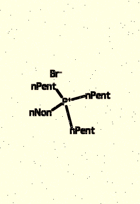 CCCCCCCCC[P+](CCCCC)(CCCCC)CCCCC.[Br-]